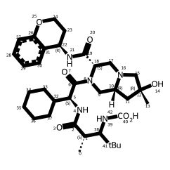 C[C@H](C(=O)N[C@H](C(=O)N1C[C@H]2C[C@@](C)(O)CN2C[C@H]1C(=O)N[C@@H]1CCOc2ccccc21)C1CCCCC1)C(NC(=O)O)C(C)(C)C